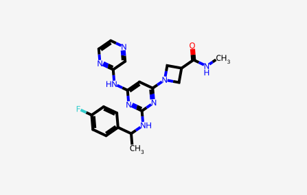 CNC(=O)C1CN(c2cc(Nc3cnccn3)nc(NC(C)c3ccc(F)cc3)n2)C1